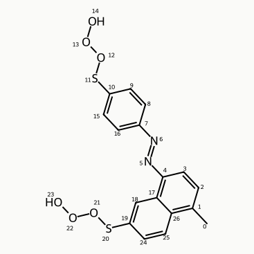 Cc1ccc(N=Nc2ccc(SOOO)cc2)c2cc(SOOO)ccc12